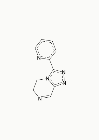 C1=NCCn2c1nnc2-c1ccccn1